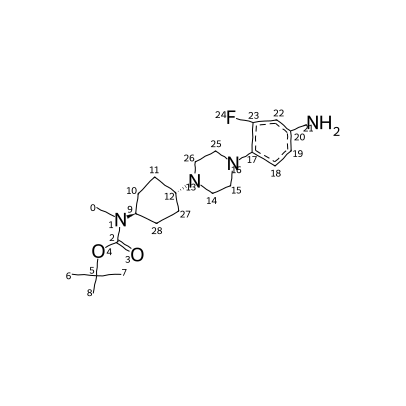 CN(C(=O)OC(C)(C)C)[C@H]1CC[C@H](N2CCN(c3ccc(N)cc3F)CC2)CC1